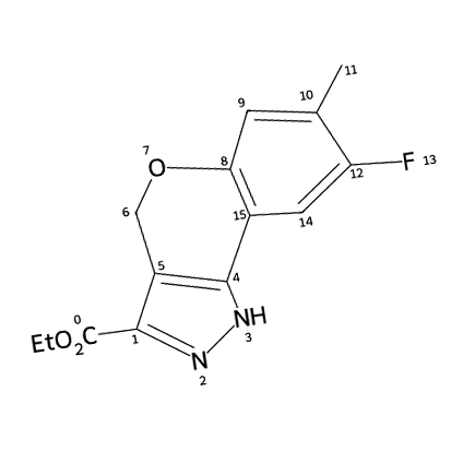 CCOC(=O)c1n[nH]c2c1COc1cc(C)c(F)cc1-2